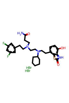 Br.Br.NC(=O)CCN(CCc1cc(F)cc(F)c1)CCN(CCc1ccc(O)c2[nH]c(=O)sc12)C1CCCCC1